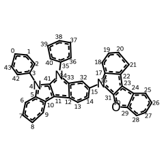 c1ccc(-n2c3ccccc3c3c4ccc(-n5c6ccccc6c6c7ccccc7oc65)cc4n(-c4ccccc4)c32)cc1